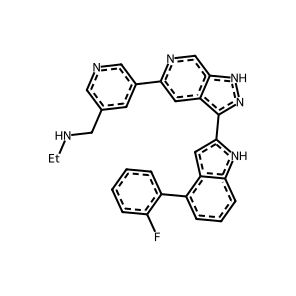 CCNCc1cncc(-c2cc3c(-c4cc5c(-c6ccccc6F)cccc5[nH]4)n[nH]c3cn2)c1